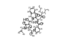 CCCC(CCC)S(=O)(=O)CC(NC(=O)c1cccnc1)C(=O)N(Cc1ccccc1)CC(O)C(OCCOC)C(=O)NCC(C)C